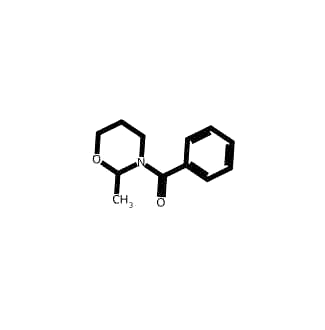 CC1OCCCN1C(=O)c1ccccc1